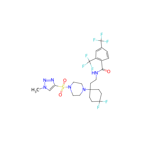 Cn1cc(S(=O)(=O)N2CCN(C3(CCNC(=O)c4ccc(C(F)(F)F)cc4C(F)(F)F)CCC(F)(F)CC3)CC2)nn1